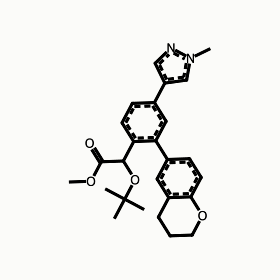 COC(=O)C(OC(C)(C)C)c1ccc(-c2cnn(C)c2)cc1-c1ccc2c(c1)CCCO2